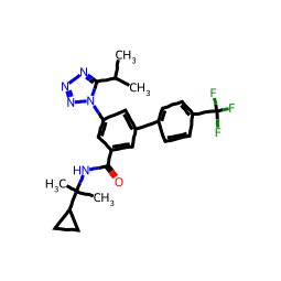 CC(C)c1nnnn1-c1cc(C(=O)NC(C)(C)C2CC2)cc(-c2ccc(C(F)(F)F)cc2)c1